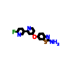 Nc1nc2ccc(Oc3ccnc(-c4ccc(F)nc4)c3)cc2s1